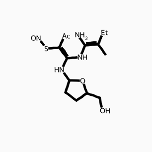 CC/C(C)=C(\N)N/C(NC1CCC(CO)O1)=C(/SN=O)C(C)=O